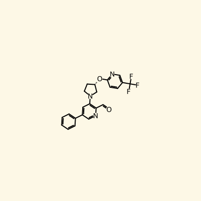 O=Cc1ncc(-c2ccccc2)cc1N1CC[C@H](Oc2ccc(C(F)(F)F)cn2)C1